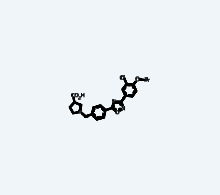 CC(C)Oc1ccc(-c2noc(-c3ccc(CN4CCC(C(=O)O)C4)cc3)n2)cc1Cl